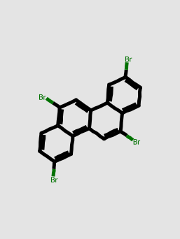 Brc1ccc2c(Br)cc3c4cc(Br)ccc4c(Br)cc3c2c1